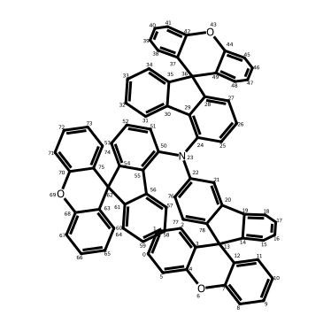 c1ccc2c(c1)Oc1ccccc1C21c2ccccc2-c2cc(N(c3cccc4c3-c3ccccc3C43c4ccccc4Oc4ccccc43)c3cccc4c3-c3ccccc3C43c4ccccc4Oc4ccccc43)ccc21